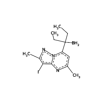 BC(CC)(CC)c1cc(C)nc2c(I)c(C)nn12